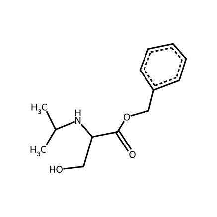 CC(C)NC(CO)C(=O)OCc1ccccc1